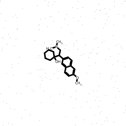 COc1ccc2cc(C(CN(C)C)C3(O)CCCCC3)ccc2c1